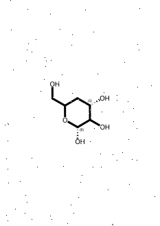 OCC1C[C@H](O)C(O)[C@H](O)O1